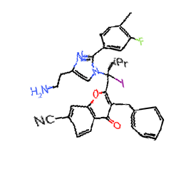 Cc1ccc(-c2nc(CCN)cn2C(I)(c2oc3cc(C#N)ccc3c(=O)c2Cc2ccccc2)C(C)C)cc1F